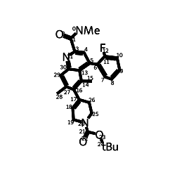 CNC(=O)c1cc(-c2ccccc2F)c2c(C)c(C3=CCN(C(=O)OC(C)(C)C)CC3)c(C)cc2n1